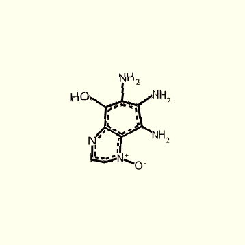 Nc1c(N)c(N)c2c(ncc[n+]2[O-])c1O